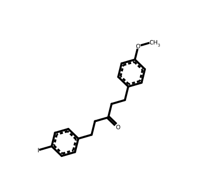 COc1ccc(CCC(=O)CCc2ccc(I)cc2)cc1